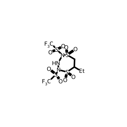 CCC1CS(=O)(=O)N(S(=O)(=O)C(F)(F)F)NN(S(=O)(=O)C(F)(F)F)S1(=O)=O